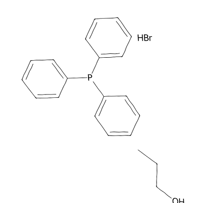 Br.CCCO.c1ccc(P(c2ccccc2)c2ccccc2)cc1